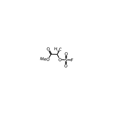 COC(=O)C(C)OS(=O)(=O)F